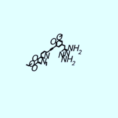 CCOC(=O)c1cn(CC)c2nc(C#Cc3cc(Cc4cnc(N)nc4N)cc(OC)c3OC)ccc2c1=O